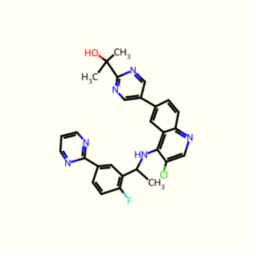 CC(Nc1c(Cl)cnc2ccc(-c3cnc(C(C)(C)O)nc3)cc12)c1cc(-c2ncccn2)ccc1F